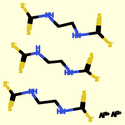 S=C([S-])NCCNC(=S)[S-].S=C([S-])NCCNC(=S)[S-].S=C([S-])NCCNC(=S)[S-].[Al+3].[Al+3]